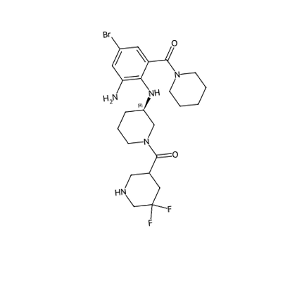 Nc1cc(Br)cc(C(=O)N2CCCCC2)c1N[C@@H]1CCCN(C(=O)C2CNCC(F)(F)C2)C1